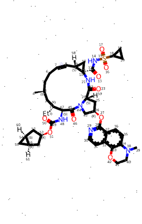 CC[C@@H]1C[C@@H](C)CC/C=C\[C@@H]2C[C@@]2(C(=O)NS(=O)(=O)C2CC2)NC(=O)[C@@H]2C[C@@H](Oc3nccc4c5c(ccc34)N(C)CCO5)CN2C(=O)[C@H]1NC(=O)O[C@@H]1C[C@@H]2C[C@@H]2C1